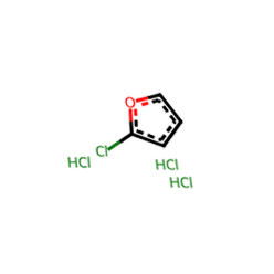 Cl.Cl.Cl.Clc1ccco1